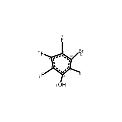 Cc1c(O)c(F)c(F)c(F)c1Br